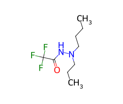 CCCCN(CCC)NC(=O)C(F)(F)F